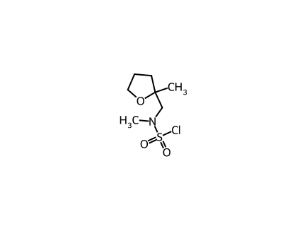 CN(CC1(C)CCCO1)S(=O)(=O)Cl